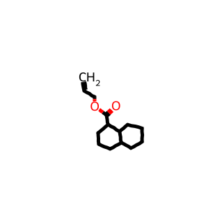 C=CCOC(=O)C1CCCC2CCCCC21